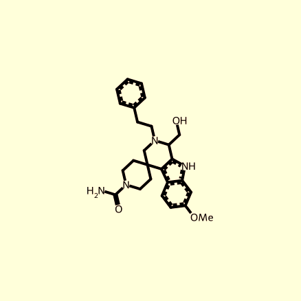 COc1ccc2c3c([nH]c2c1)C(CO)N(CCc1ccccc1)CC31CCN(C(N)=O)CC1